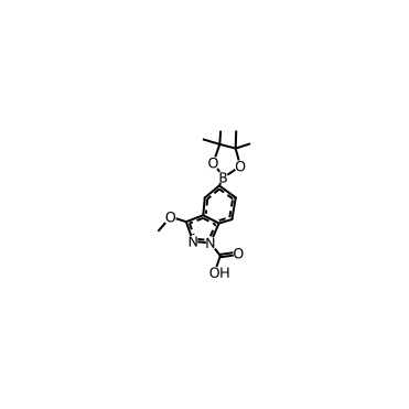 COc1nn(C(=O)O)c2ccc(B3OC(C)(C)C(C)(C)O3)cc12